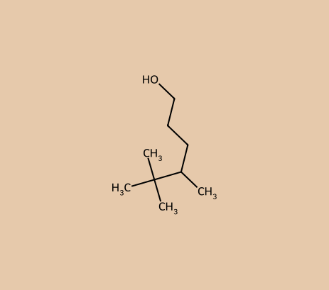 CC(CCCO)C(C)(C)C